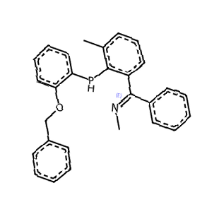 C/N=C(\c1ccccc1)c1cccc(C)c1Pc1ccccc1OCc1ccccc1